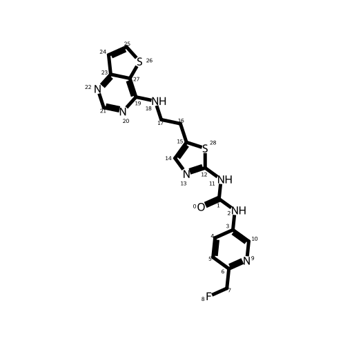 O=C(Nc1ccc(CF)nc1)Nc1ncc(CCNc2ncnc3ccsc23)s1